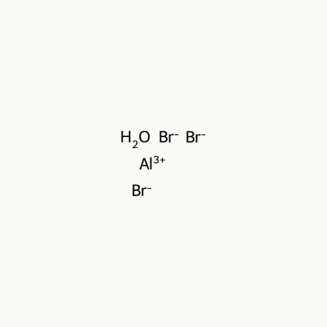 O.[Al+3].[Br-].[Br-].[Br-]